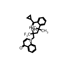 CC(C)(CC(O)(Cn1ccc(=O)c2ccccc21)C(F)(F)F)c1ccccc1C(=O)C1CC1